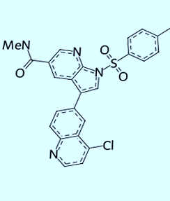 CNC(=O)c1cnc2c(c1)c(-c1ccc3nccc(Cl)c3c1)cn2S(=O)(=O)c1ccc(C)cc1